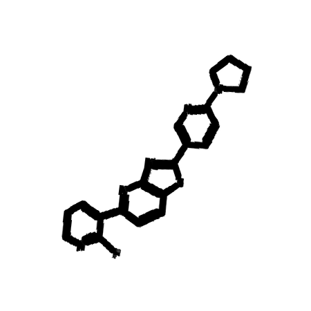 Fc1ncccc1-c1ccc2sc(-c3ccc(N4CCCC4)nc3)nc2n1